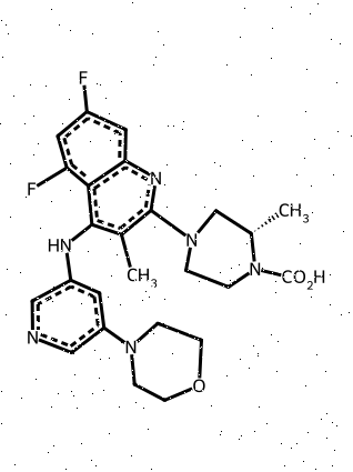 Cc1c(N2CCN(C(=O)O)[C@@H](C)C2)nc2cc(F)cc(F)c2c1Nc1cncc(N2CCOCC2)c1